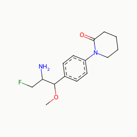 COC(c1ccc(N2CCCCC2=O)cc1)C(N)CF